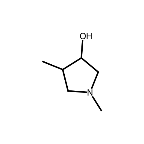 CC1CN(C)CC1O